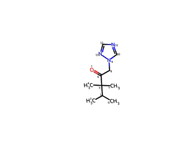 CC(C)C(C)(C)C(=O)Cn1cncn1